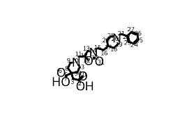 O=C(O)CC1(C(=O)O)CCN(CC2CN(CCC3CCN(Cc4ccccc4)CC3)C(=O)O2)CC1